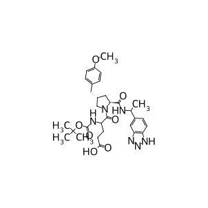 COc1ccc(C[C@@H]2C[C@@H](C(=O)NC(C)c3ccc4[nH]nnc4c3)N(C(=O)C(CCC(=O)O)NC(=O)OC(C)(C)C)C2)cc1